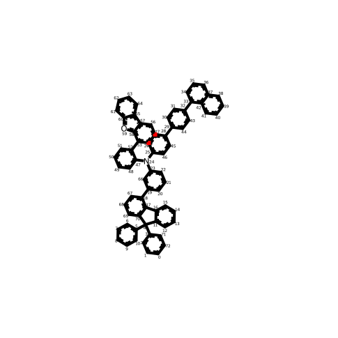 c1ccc(C2(c3ccccc3)c3ccccc3-c3c(-c4cccc(N(c5ccc(-c6ccc(-c7cccc8ccccc78)cc6)cc5)c5ccccc5-c5cccc6c5oc5ccccc56)c4)cccc32)cc1